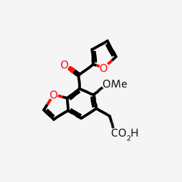 COc1c(CC(=O)O)cc2ccoc2c1C(=O)c1ccco1